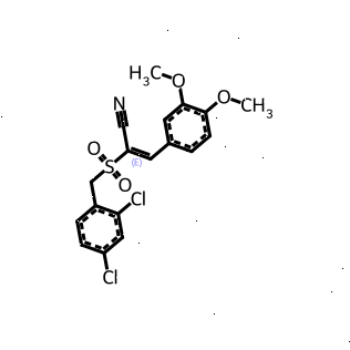 COc1ccc(/C=C(\C#N)S(=O)(=O)Cc2ccc(Cl)cc2Cl)cc1OC